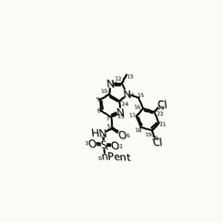 CCCCCS(=O)(=O)NC(=O)c1ccc2nc(C)n(Cc3ccc(Cl)cc3Cl)c2n1